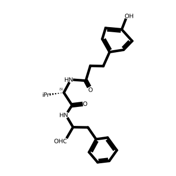 CC(C)[C@H](NC(=O)CCc1ccc(O)cc1)C(=O)NC(C=O)Cc1ccccc1